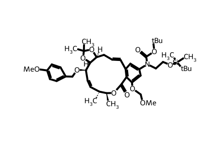 COCOc1cc(N(CCO[Si](C)(C)C(C)(C)C)C(=O)OC(C)(C)C)cc2c1C(=O)O[C@@H](C)[C@H](C)/C=C\[C@@H](OCc1ccc(OC)cc1)[C@H]1OC(C)(C)O[C@H]1C/C=C/2